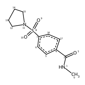 CNC(=O)c1ccc(S(=O)(=O)N2CCCC2)cc1